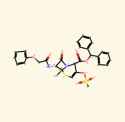 CS(=O)(=O)OC1=CS[C@@H]2[C@H](NC(=O)COc3ccccc3)C(=O)N2C1C(=O)OC(c1ccccc1)c1ccccc1